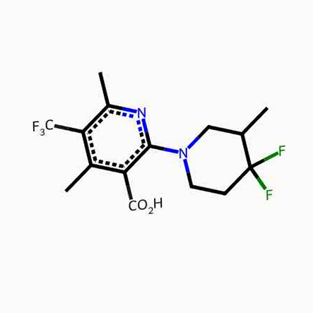 Cc1nc(N2CCC(F)(F)C(C)C2)c(C(=O)O)c(C)c1C(F)(F)F